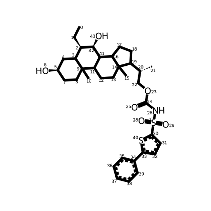 CC[C@@H]1C2C[C@H](O)CCC2(C)C2CCC3(C)C(CCC3[C@H](C)COC(=O)NS(=O)(=O)c3ccc(-c4ccccc4)s3)C2[C@@H]1O